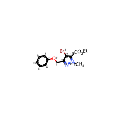 CCOC(=O)c1c(Br)c(COc2ccccc2)nn1C